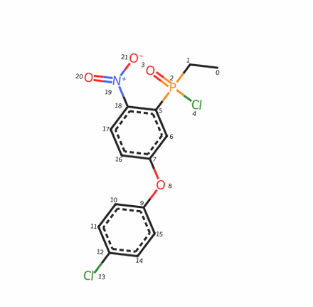 CCP(=O)(Cl)c1cc(Oc2ccc(Cl)cc2)ccc1[N+](=O)[O-]